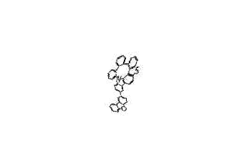 c1ccc2c(c1)oc1ccc(-c3ccc4c(c3)c3ccc5sc6cccc7c8ccccc8c8ccccc8n4c3c5c67)cc12